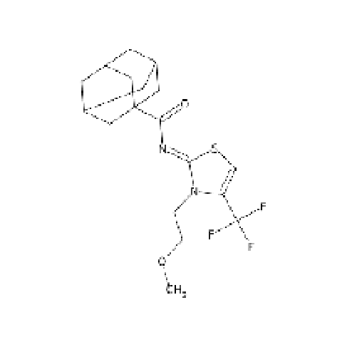 COCCn1c(C(F)(F)F)csc1=NC(=O)C12CC3CC(CC(C3)C1)C2